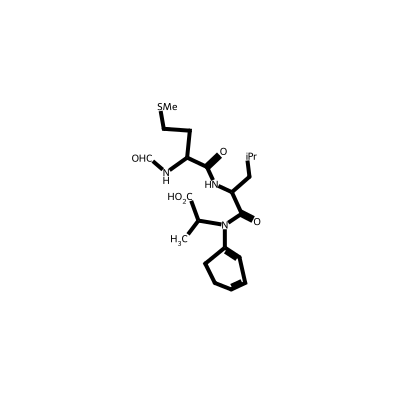 CSCCC(NC=O)C(=O)NC(CC(C)C)C(=O)N(C1=CC=CCC1)C(C)C(=O)O